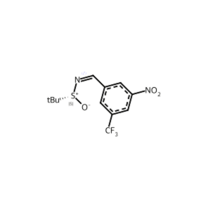 CC(C)(C)[S@@+]([O-])/N=C\c1cc([N+](=O)[O-])cc(C(F)(F)F)c1